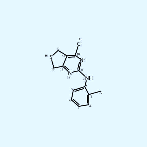 Cc1ccccc1Nc1nc(Cl)c2c(n1)CSC2